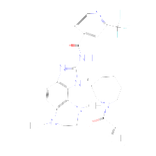 C=CC(=O)N1CCCC[C@@H](n2c(NC(=O)c3ccnc(C(F)(F)F)c3)nc3ccc4c(c32)N(C)CCN4C)C1